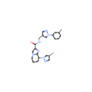 Cc1cccc(-n2cc(CNC(=O)c3cn4cccc(-n5cc(I)cn5)c4n3)cn2)c1